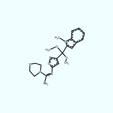 COC(OC)(c1cc(/N=C(/N)N2CCOCC2)on1)c1cc2ccccc2n1C